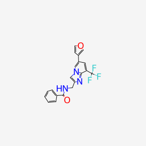 O=C(NCc1cn2cc(-c3ccoc3)cc(C(F)(F)F)c2n1)c1ccccc1